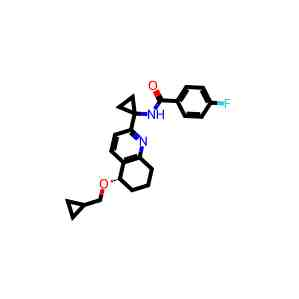 O=C(NC1(c2ccc3c(n2)CCC[C@@H]3OCC2CC2)CC1)c1ccc(F)cc1